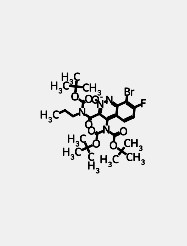 CCCN(C(=O)OC(C)(C)C)C(=O)c1c(N(C(=O)OC(C)(C)C)C(=O)OC(C)(C)C)c2ccc(F)c(Br)c2n[n+]1[O-]